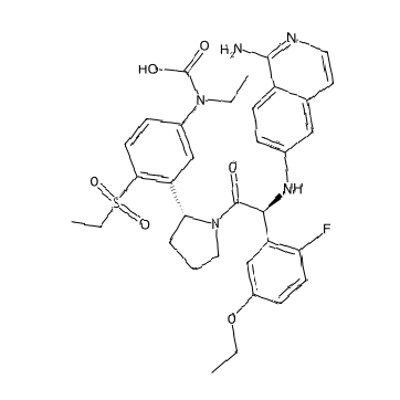 CCOc1ccc(F)c([C@H](Nc2ccc3c(N)nccc3c2)C(=O)N2CCC[C@@H]2c2cc(N(CC)C(=O)O)ccc2S(=O)(=O)CC)c1